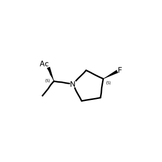 CC(=O)[C@H](C)N1CC[C@H](F)C1